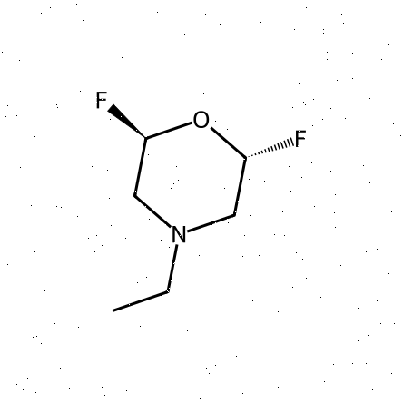 CCN1C[C@@H](F)O[C@H](F)C1